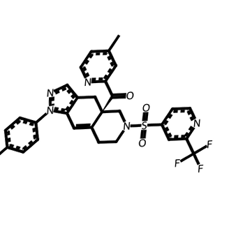 Cc1ccnc(C(=O)[C@]23Cc4cnn(-c5ccc(F)cc5)c4C=C2CCN(S(=O)(=O)c2ccnc(C(F)(F)F)c2)C3)c1